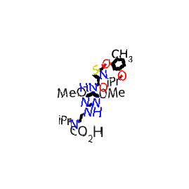 COc1nc(NCCN(C(=O)O)C(C)C)nc(OC)c1NC(=O)c1csc(Oc2cc(OC(C)C)ccc2C)n1